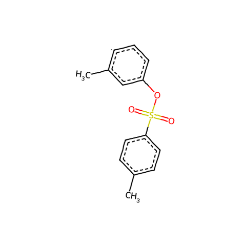 Cc1[c]ccc(OS(=O)(=O)c2ccc(C)cc2)c1